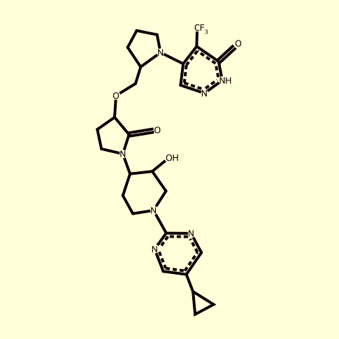 O=C1C(OCC2CCCN2c2cn[nH]c(=O)c2C(F)(F)F)CCN1C1CCN(c2ncc(C3CC3)cn2)CC1O